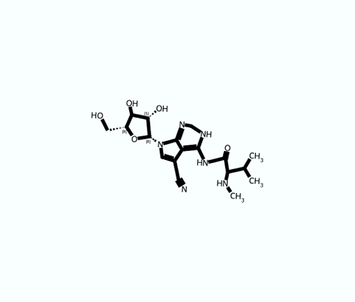 CNC(C(=O)NC1=c2c(C#N)cn([C@@H]3O[C@H](CO)C(O)[C@@H]3O)c2=NCN1)C(C)C